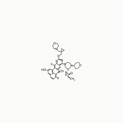 C#Cc1c(F)ccc2cc(O)cc(-c3ncc4c(N5CCN(C6CCOCC6)C[C@H](NC(=O)C=C)C5)nc(OCC5(CN6CCOCC6)CC5)nc4c3F)c12